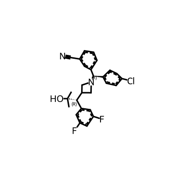 CC(C)(O)[C@@H](c1cc(F)cc(F)c1)C1CN([C@H](c2ccc(Cl)cc2)c2cccc(C#N)c2)C1